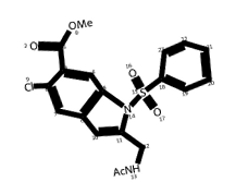 COC(=O)c1cc2c(cc1Cl)cc(CNC(C)=O)n2S(=O)(=O)c1ccccc1